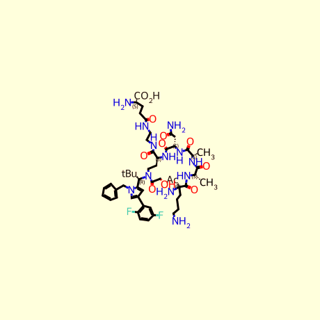 CC(=O)[C@](N)(CCCCN)C(=O)N[C@@H](C)C(=O)N[C@@H](C)C(=O)N[C@@H](CC(N)=O)C(=O)N[C@@H](CCN(C(=O)CO)[C@@H](c1cc(-c2cc(F)ccc2F)cn1Cc1ccccc1)C(C)(C)C)C(=O)NCCNC(=O)CC[C@H](N)C(=O)O